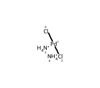 [Cl][Pd][Cl].[NH4+].[NH4+]